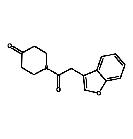 O=C1CCN(C(=O)Cc2coc3ccccc23)CC1